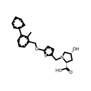 Cc1c(COc2ccc(CN3C[C@H](O)C[C@@H]3C(=O)O)s2)cccc1-c1ccccc1